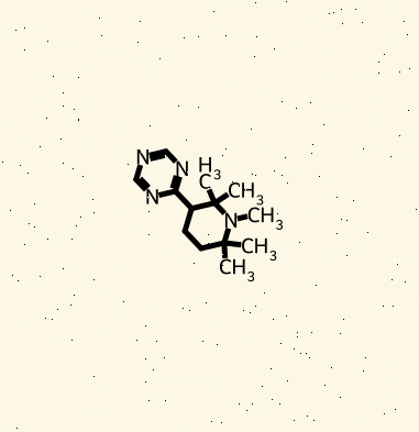 CN1C(C)(C)CCC(c2ncncn2)C1(C)C